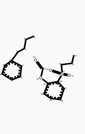 CCCCc1ccccc1.CCCS(=O)(=O)c1ccccc1OC=O